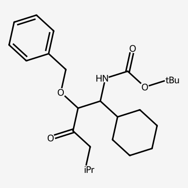 CC(C)CC(=O)C(OCc1ccccc1)C(NC(=O)OC(C)(C)C)C1CCCCC1